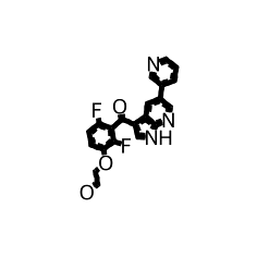 O=CCOc1ccc(F)c(C(=O)c2c[nH]c3ncc(-c4cccnc4)cc23)c1F